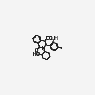 Cc1ccc(C2C(C(=O)O)c3ccccc3C(=O)N2C2CCCCC2O)cc1